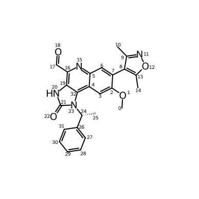 COc1cc2c(cc1-c1c(C)noc1C)nc(C=O)c1[nH]c(=O)n([C@H](C)c3ccccc3)c12